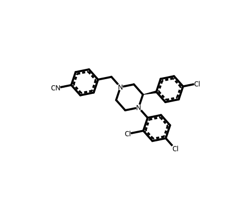 [C-]#[N+]c1ccc(CN2CCN(c3ccc(Cl)cc3Cl)[C@H](c3ccc(Cl)cc3)C2)cc1